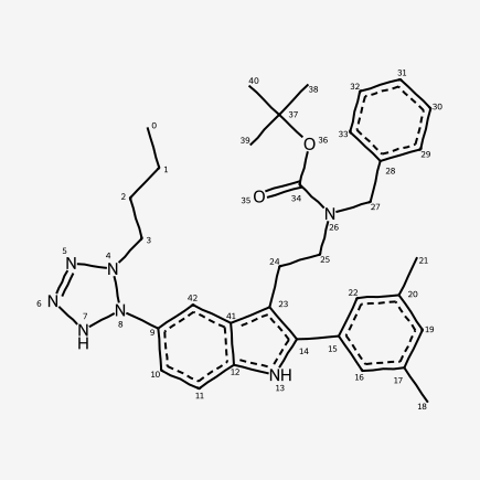 CCCCN1N=NNN1c1ccc2[nH]c(-c3cc(C)cc(C)c3)c(CCN(Cc3ccccc3)C(=O)OC(C)(C)C)c2c1